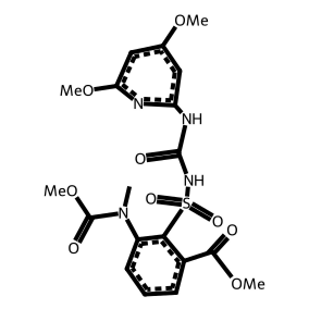 COC(=O)c1cccc(N(C)C(=O)OC)c1S(=O)(=O)NC(=O)Nc1cc(OC)cc(OC)n1